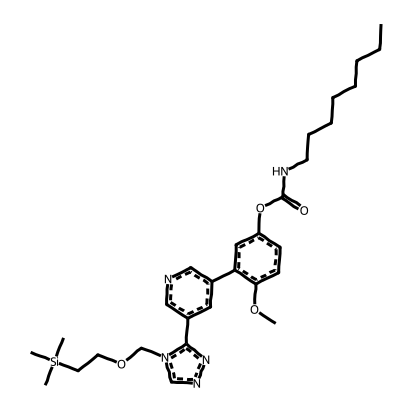 CCCCCCCCNC(=O)Oc1ccc(OC)c(-c2cncc(-c3nncn3COCC[Si](C)(C)C)c2)c1